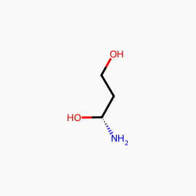 N[C@H](O)CCO